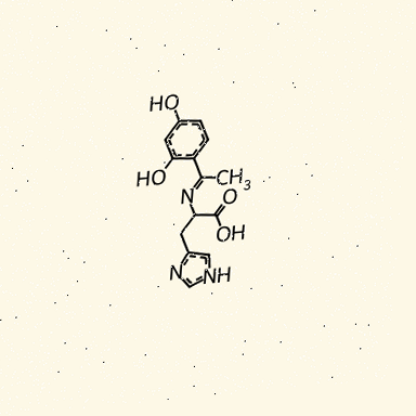 C/C(=N\C(Cc1c[nH]cn1)C(=O)O)c1ccc(O)cc1O